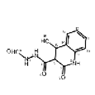 O=CNNC(=O)C1C(=O)Nc2ccccc2C1O